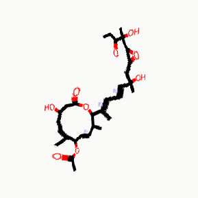 CCC(=O)C(C)(O)C1OC1CC(C)(O)/C=C/C=C(\C)C1OC(=O)CC(O)CCC(C)C(OC(C)=O)/C=C/C1C